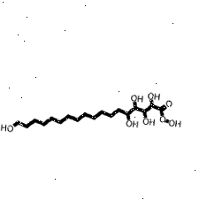 O=C(OO)C(O)C(O)C(O)C(O)CCCCCCCCCCCCCO